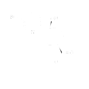 COC(=O)[C@H]1CC[C@](O)(c2ccc(Br)cn2)CC1(C)C